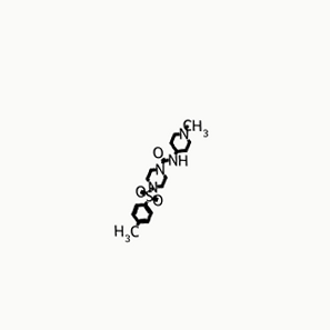 Cc1ccc(S(=O)(=O)N2CCN(C(=O)NC3CCN(C)CC3)CC2)cc1